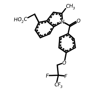 Cc1cc2c(CC(=O)O)cccc2n1C(=O)c1ccc(OCC(F)(F)C(F)(F)F)cc1